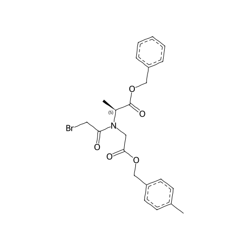 Cc1ccc(COC(=O)CN(C(=O)CBr)[C@@H](C)C(=O)OCc2ccccc2)cc1